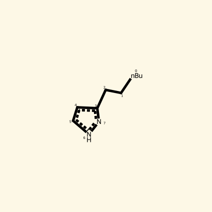 [CH2]CCCCCc1cc[nH]n1